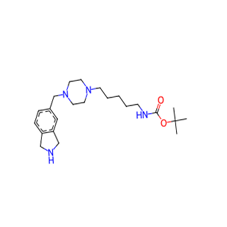 CC(C)(C)OC(=O)NCCCCCN1CCN(Cc2ccc3c(c2)CNC3)CC1